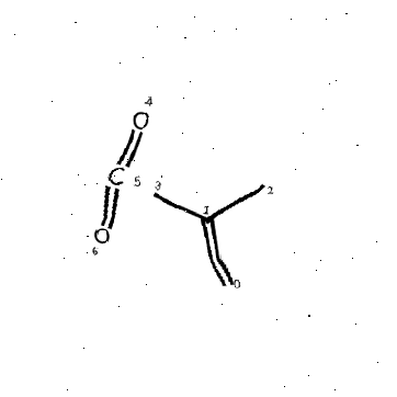 C=C(C)C.O=C=O